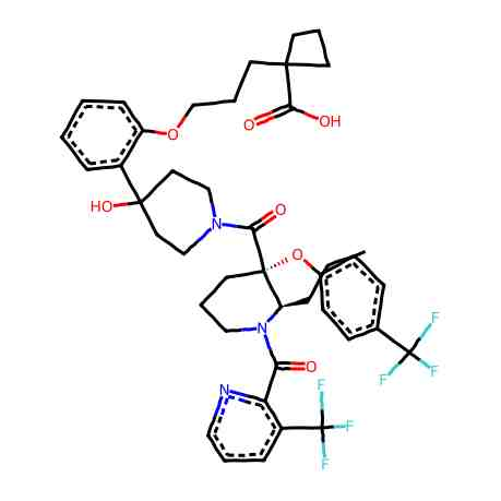 CCC[C@H]1N(C(=O)c2ncccc2C(F)(F)F)CCC[C@@]1(Oc1ccc(C(F)(F)F)cc1)C(=O)N1CCC(O)(c2ccccc2OCCCC2(C(=O)O)CCC2)CC1